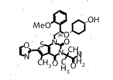 COc1ccccc1[C@H](Cn1c(=O)n(C(C)(C)C(N)=O)c(=O)c2c(C)c(-c3ncco3)sc21)O[C@H]1CC[C@@H](O)CC1